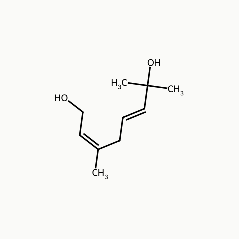 CC(=CCO)CC=CC(C)(C)O